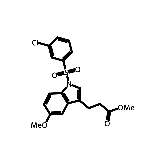 COC(=O)CCc1cn(S(=O)(=O)c2cccc(Cl)c2)c2ccc(OC)cc12